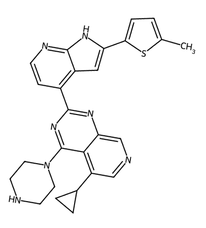 Cc1ccc(-c2cc3c(-c4nc(N5CCNCC5)c5c(C6CC6)cncc5n4)ccnc3[nH]2)s1